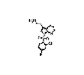 NCCc1cn(S(=O)(=O)c2ccc(F)cc2Cl)c2ncccc12